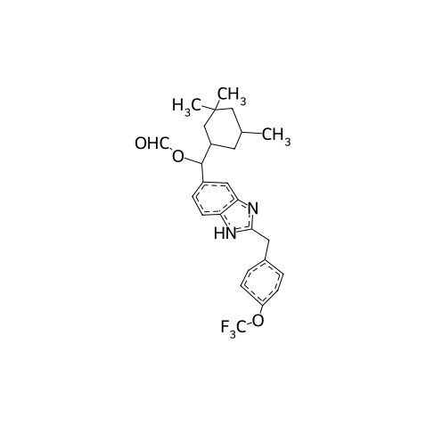 CC1CC(C(OC=O)c2ccc3[nH]c(Cc4ccc(OC(F)(F)F)cc4)nc3c2)CC(C)(C)C1